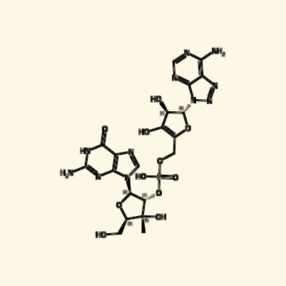 C[C@@]1(O)[C@@H](CO)O[C@@H](n2cnc3c(=O)[nH]c(N)nc32)[C@@H]1OP(=O)(O)OCC1=C(O)[C@@H](O)[C@H](n2nnc3c(N)ncnc32)O1